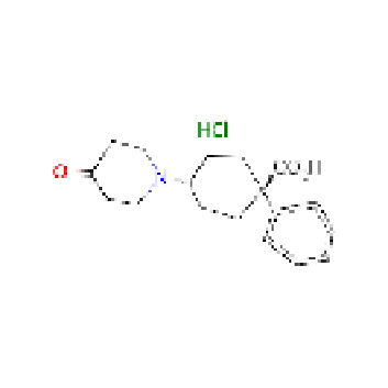 Cl.O=C1CCN([C@H]2CC[C@@](C(=O)O)(c3ccccc3)CC2)CC1